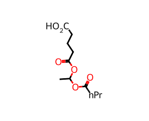 CCCC(=O)OC(C)OC(=O)CCCC(=O)O